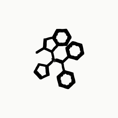 CC1=Cc2ccccc2[CH]1[Zr]([C]1=CC=CC1)=[C](c1ccccc1)c1ccccc1